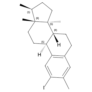 Cc1cc2c(cc1I)[C@H]1CC[C@]3(C)[C@@H](C)CC[C@@]3(C)[C@@H]1CC2